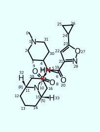 CN1CCC(N(C)S(=O)(=O)N2[C@@H]3CCC[C@H]2C[C@H](NC(=O)c2cc(C4CC4)on2)C3)CC1